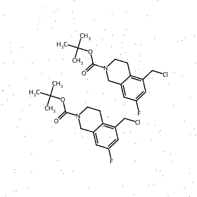 CC(C)(C)OC(=O)N1CCc2c(CCl)cc(F)cc2C1.CC(C)(C)OC(=O)N1CCc2c(CCl)cc(F)cc2C1